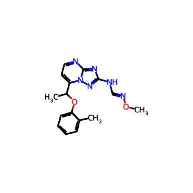 CON=CNc1nc2nccc(C(C)Oc3ccccc3C)n2n1